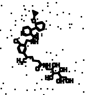 CC(CCCC(=O)NCC(O)C(O)C(O)C(O)CO)c1ccc(Cl)c(CNC2(c3cnccc3-c3ccccc3OC3CC3)CC2)c1